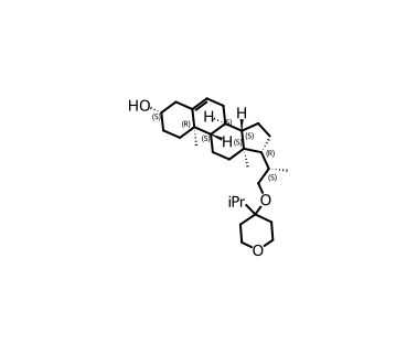 CC(C)C1(OC[C@@H](C)[C@H]2CC[C@H]3[C@@H]4CC=C5C[C@@H](O)CC[C@]5(C)[C@H]4CC[C@]23C)CCOCC1